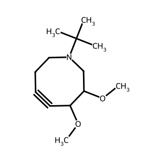 COC1C#CCCN(C(C)(C)C)CC1OC